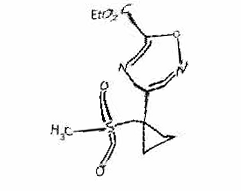 CCOC(=O)c1nc(C2(S(C)(=O)=O)CC2)no1